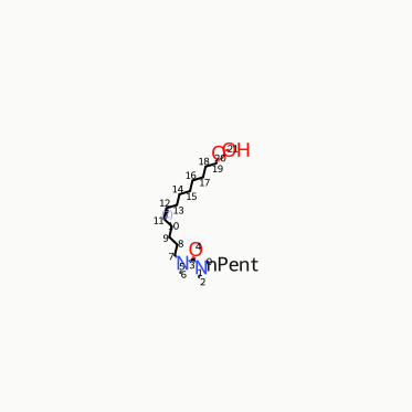 CCCCCN(C)C(=O)N(C)CCCC/C=C\CCCCCCCOO